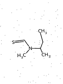 CCC(C)N(C)C=S